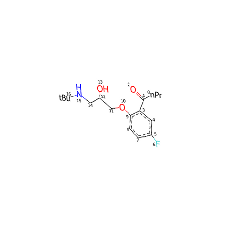 CCCC(=O)c1cc(F)ccc1OC[C@@H](O)CNC(C)(C)C